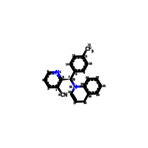 N#Cc1cccnc1[C@H](c1ccc(C(F)(F)F)cc1)N1C=CCc2ccccc21